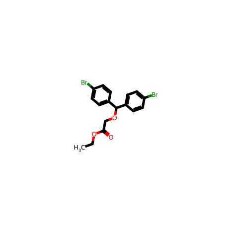 CCOC(=O)COC(c1ccc(Br)cc1)c1ccc(Br)cc1